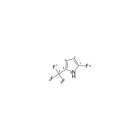 Fc1ccc(C(F)(F)F)[nH]1